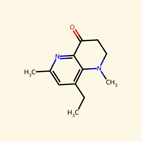 CCc1cc(C)nc2c1N(C)CCC2=O